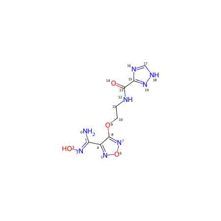 N/C(=N\O)c1nonc1OCCNC(=O)c1nc[nH]n1